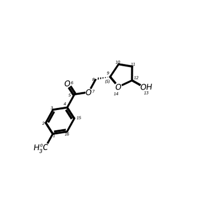 Cc1ccc(C(=O)OC[C@@H]2CCC(O)O2)cc1